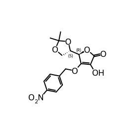 CC1(C)OC[C@@H]([C@H]2OC(=O)C(O)=C2OCc2ccc([N+](=O)[O-])cc2)O1